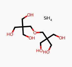 OCC(CO)(CO)COCC(CO)(CO)CO.[SiH4]